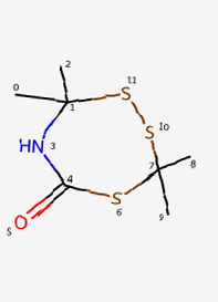 CC1(C)NC(=O)SC(C)(C)SS1